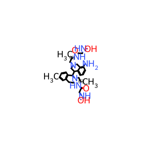 Cc1ccc2c(c1)CCN(C[C@H](C)NC(=O)CNO)C2C1CN(C[C@H](C)NC(=O)CNO)Cc2c(N)cccc21